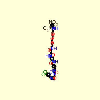 O=C(CCC(=O)NC1CCC(NC(=O)c2ccc(CNC(=O)NCC3CN(Cc4ccc(Cl)c(Cl)c4)CCO3)cc2)CC1)NCCCOCCOCCOCCCNc1ccc([N+](=O)[O-])cc1[N+](=O)[O-]